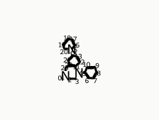 CN1CCN(c2ccccc2)c2ccc(N3C=CC=CC3)cc2C1